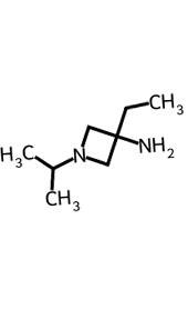 CCC1(N)CN(C(C)C)C1